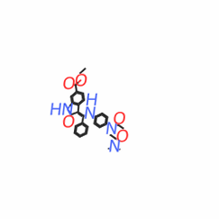 CCOC(=O)c1ccc2c(c1)NC(=O)C2=C(Nc1ccc(N(CC(=O)N(C)C)C(C)=O)cc1)c1ccccc1